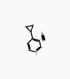 C#N.c1cc(C2CC2)ccn1